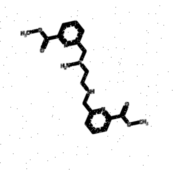 COC(=O)c1cccc(CNCCN(N)Cc2cccc(C(=O)OC)n2)n1